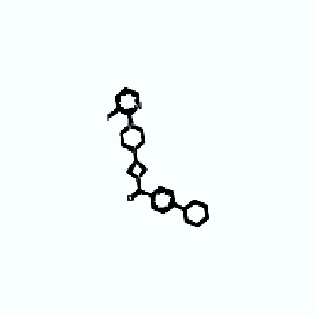 O=C(c1ccc(C2CCCCC2)cc1)N1CC(N2CCN(c3ncccc3I)CC2)C1